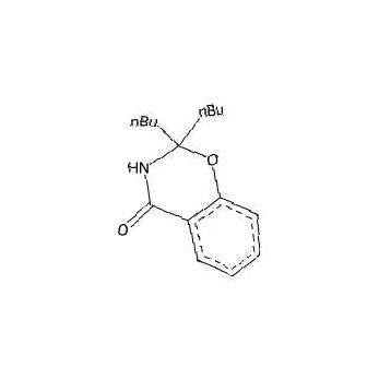 CCCCC1(CCCC)NC(=O)c2ccccc2O1